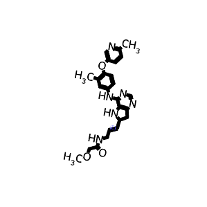 COCC(=O)NC/C=C/C1Cc2ncnc(Nc3ccc(Oc4ccc(C)nc4)c(C)c3)c2N1